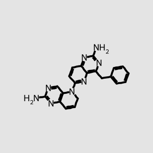 Nc1ncc2c(n1)C=CCN2c1ccc2nc(N)nc(Cc3ccccc3)c2n1